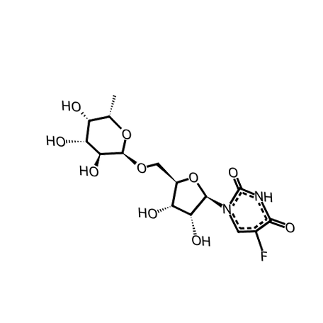 C[C@@H]1O[C@@H](OC[C@H]2O[C@@H](n3cc(F)c(=O)[nH]c3=O)[C@H](O)[C@@H]2O)[C@@H](O)[C@H](O)[C@@H]1O